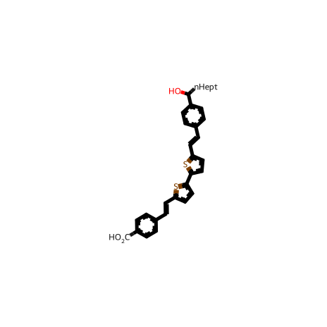 CCCCCCCC(O)c1ccc(/C=C/c2ccc(-c3ccc(/C=C/c4ccc(C(=O)O)cc4)s3)s2)cc1